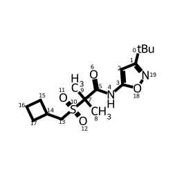 CC(C)(C)c1cc(NC(=O)C(C)(C)S(=O)(=O)CC2CCC2)on1